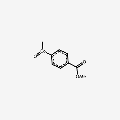 COC(=O)c1cc[c]([Co]([CH3])=[O])cc1